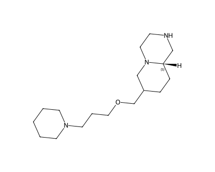 C1CCN(CCCOCC2CC[C@H]3CNCCN3C2)CC1